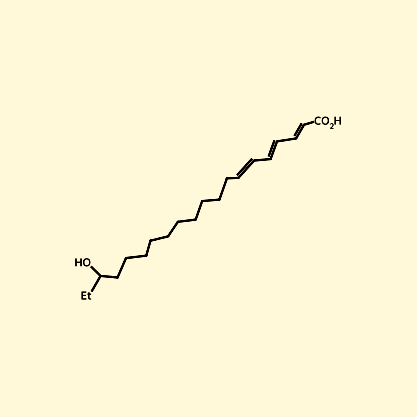 CCC(O)CCCCCCCCCCC=CC=CC=CC(=O)O